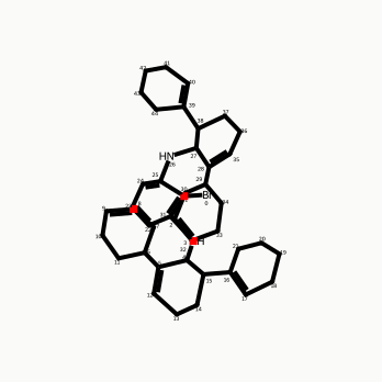 Brc1c(NC2C(C3CC=CCC3)=CCCC2C2=CCCCC2)cccc1NC1C(C2CC=CCC2)=CCCC1C1=CCCCC1